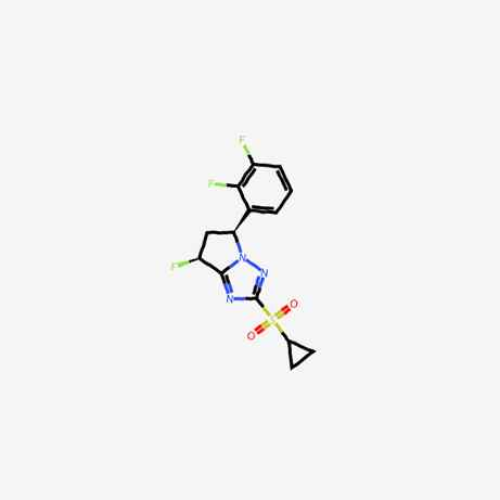 O=S(=O)(c1nc2n(n1)[C@H](c1cccc(F)c1F)C[C@@H]2F)C1CC1